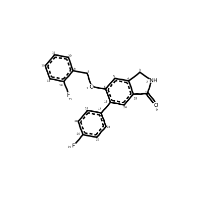 O=C1NCc2cc(OCc3ccccc3F)c(-c3ccc(F)cc3)cc21